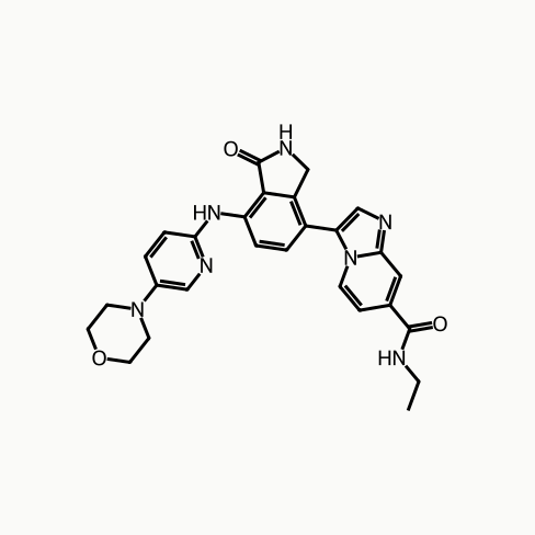 CCNC(=O)c1ccn2c(-c3ccc(Nc4ccc(N5CCOCC5)cn4)c4c3CNC4=O)cnc2c1